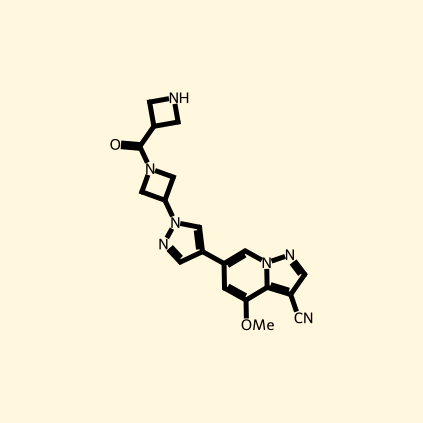 COc1cc(-c2cnn(C3CN(C(=O)C4CNC4)C3)c2)cn2ncc(C#N)c12